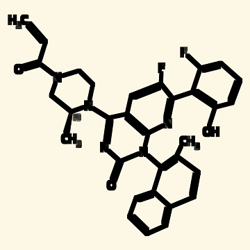 C=CC(=O)N1CCN(c2nc(=O)n(-c3c(C)ccc4ccccc34)c3nc(-c4c(O)cccc4F)c(F)cc23)[C@@H](C)C1